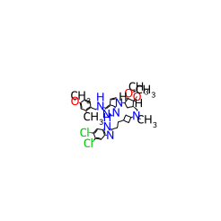 COc1ccc(CNc2ncnc3c2ccn3[C@@H]2C[C@H](CN(C)C3CC(CCc4nc5cc(Cl)c(Cl)cc5[nH]4)C3)[C@H]3OC(C)(C)O[C@H]32)c(C)c1